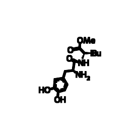 CC[C@H](C)[C@H](NC(=O)[C@@H](N)Cc1ccc(O)c(O)c1)C(=O)OC